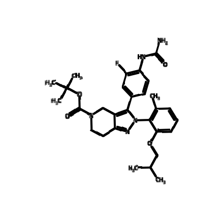 Cc1cccc(OCC(C)C)c1-n1nc2c(c1-c1ccc(NC(N)=O)c(F)c1)CN(C(=O)OC(C)(C)C)CC2